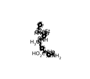 CCS(=O)(=O)c1ccc(NC(=O)N(C)CCc2ccc(C(Nc3cccc(C(N)=O)c3)C(=O)O)cc2)cc1CNC(=O)OCc1ccccc1